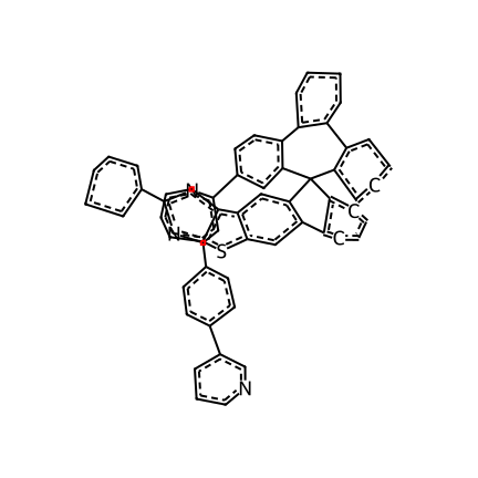 c1ccc(-c2nc(-c3ccc(-c4cccnc4)cc3)cc(-c3ccc4c(c3)C3(c5ccccc5-c5ccccc5-4)c4ccccc4-c4cc5sc6ccccc6c5cc43)n2)cc1